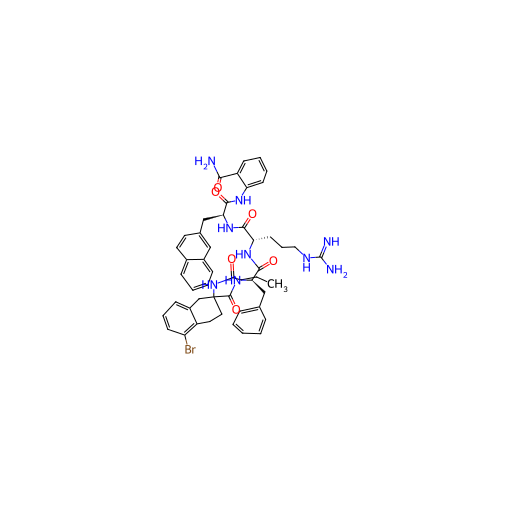 CCCC(=O)NC1(C(=O)N[C@H](Cc2ccccc2)C(=O)N[C@@H](CCCNC(=N)N)C(=O)N[C@@H](Cc2ccc3ccccc3c2)C(=O)Nc2ccccc2C(N)=O)CCc2c(Br)cccc2C1